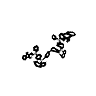 CC1(C)c2ccccc2-c2ccc(N(c3ccccc3)c3ccc(N(c4ccc(-c5ccc(N(c6ccc(N(c7ccccc7)c7ccc8c(c7)C(C)(C)c7ccccc7-8)cc6)c6cccc7ccccc67)cc5)cc4)c4cccc5ccccc45)cc3)cc21